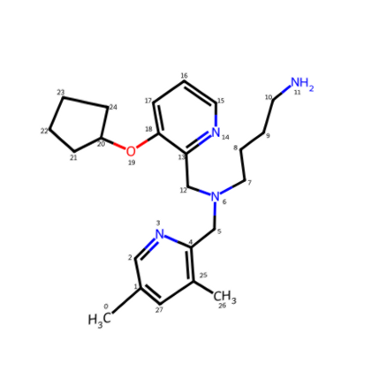 Cc1cnc(CN(CCCCN)Cc2ncccc2OC2CCCC2)c(C)c1